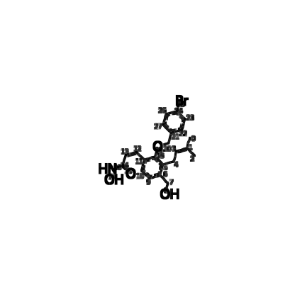 CC(C)=CCc1c(CO)ccc(/C=C\C(=O)NO)c1OCc1ccc(Br)cc1